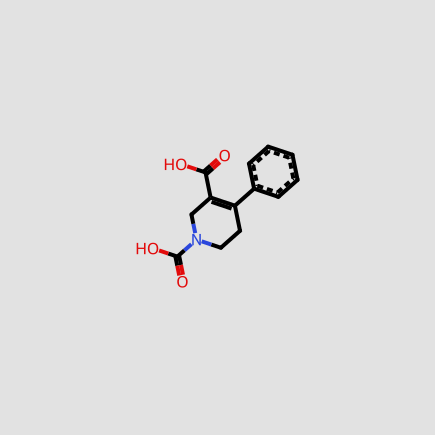 O=C(O)C1=C(c2ccccc2)CCN(C(=O)O)C1